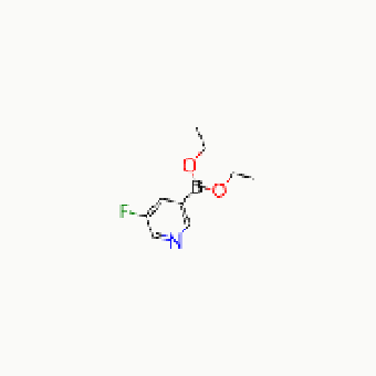 CCOB(OCC)c1cncc(F)c1